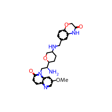 COc1cnc2ccc(=O)n(C[C@H](N)C3CCC(NCc4ccc5c(c4)NC(=O)CO5)CO3)c2c1